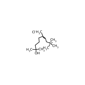 CC(=CC[N+](C)(C)C)CCCC(C)(C)O.[Cl-]